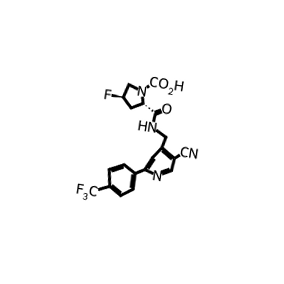 N#Cc1cnc(-c2ccc(C(F)(F)F)cc2)cc1CNC(=O)[C@@H]1C[C@@H](F)CN1C(=O)O